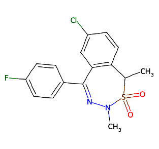 CC1c2ccc(Cl)cc2C(c2ccc(F)cc2)=NN(C)S1(=O)=O